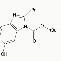 CC(C)c1nc2ccc(O)cc2n1C(=O)OC(C)(C)C